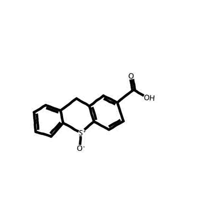 O=C(O)c1ccc2c(c1)Cc1ccccc1[S+]2[O-]